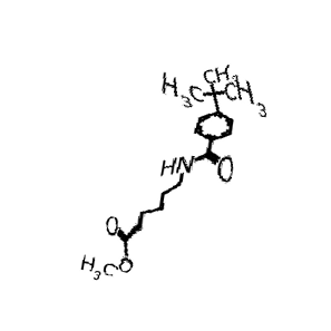 COC(=O)CCCCCNC(=O)c1ccc(C(C)(C)C)cc1